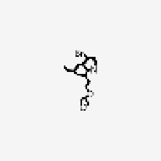 CCc1cc(CCOC2COC2)c2nccc(Br)c2c1